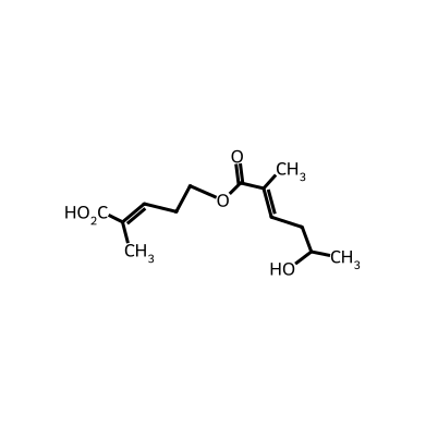 CC(=CCCOC(=O)C(C)=CCC(C)O)C(=O)O